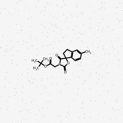 Cc1ccc2c(c1)CCC21OC(=O)N(CC(=O)OC(C)(C)C)C1=O